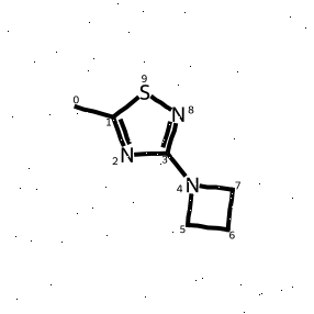 Cc1nc(N2CCC2)ns1